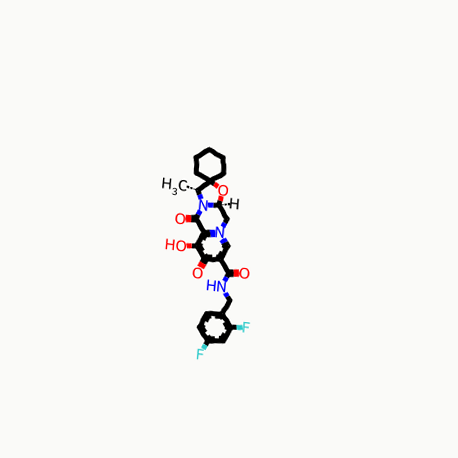 C[C@H]1N2C(=O)c3c(O)c(=O)c(C(=O)NCc4ccc(F)cc4F)cn3C[C@@H]2OC12CCCCC2